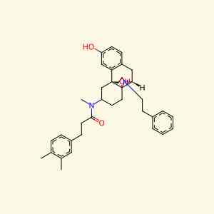 Cc1ccc(CCC(=O)N(C)C2CC[C@@]3(O)[C@H]4Cc5ccc(O)cc5[C@@]3(CCN4CCc3ccccc3)C2)cc1C